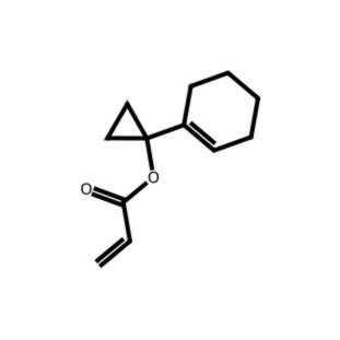 C=CC(=O)OC1(C2=CCCCC2)CC1